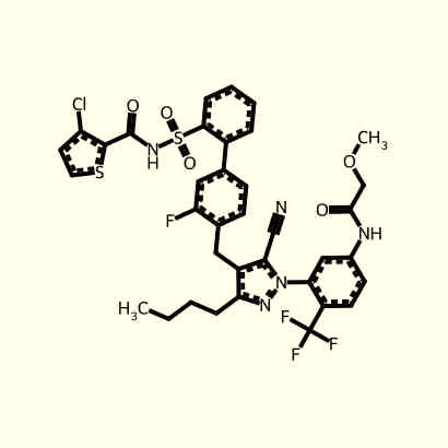 CCCCc1nn(-c2cc(NC(=O)COC)ccc2C(F)(F)F)c(C#N)c1Cc1ccc(-c2ccccc2S(=O)(=O)NC(=O)c2sccc2Cl)cc1F